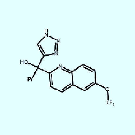 CC(C)C(O)(c1c[nH]nn1)c1ccc2cc(OC(F)(F)F)ccc2n1